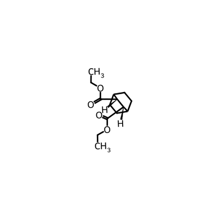 CCOC(=O)[C@@H]1C2CCC(CC2)[C@@H]1C(=O)OCC